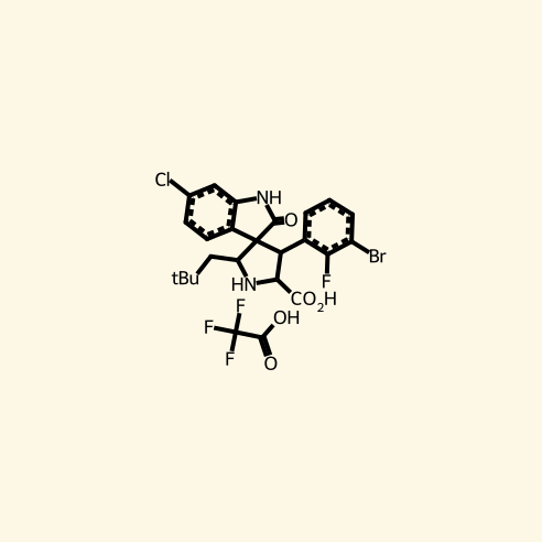 CC(C)(C)CC1NC(C(=O)O)C(c2cccc(Br)c2F)C12C(=O)Nc1cc(Cl)ccc12.O=C(O)C(F)(F)F